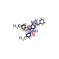 Cc1ccc(S(=O)(=O)Nc2cc(NCC3CCCCC3)c([N+](=O)[O-])cc2NS(=O)(=O)c2ccc(C)cc2)cc1